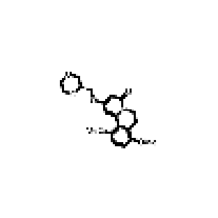 COc1ccc(OC)c2c1CCn1c-2cc(OC[C@@H]2COCCO2)cc1=O